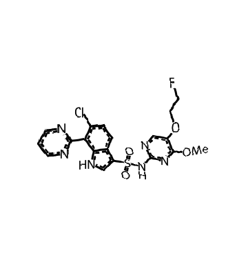 COc1nc(NS(=O)(=O)c2c[nH]c3c(-c4ncccn4)c(Cl)ccc23)ncc1OCCF